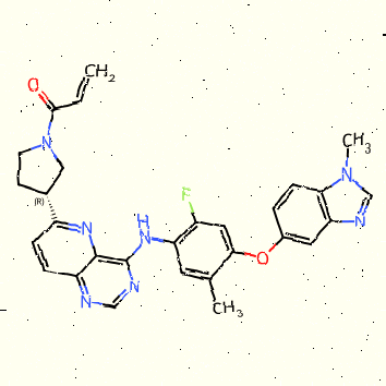 C=CC(=O)N1CC[C@@H](c2ccc3ncnc(Nc4cc(C)c(Oc5ccc6c(c5)ncn6C)cc4F)c3n2)C1